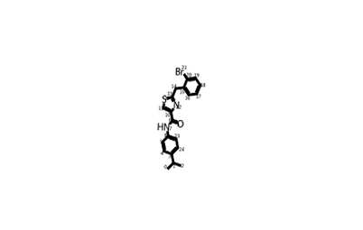 CC(C)c1ccc(NC(=O)c2csc(Cc3ccccc3Br)n2)cc1